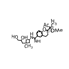 CO[C@](C)(C(C)=O)[C@H]1CCc2cc(C(=N)N[C@H]3C[C@](C)(CC(O)CO)C3)ccc2O1